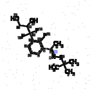 C/C(=N\SC(C)(C)C)c1cccc(C(F)(F)C(O)CO)c1F